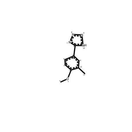 COc1ccc(-c2nnn[nH]2)cc1C